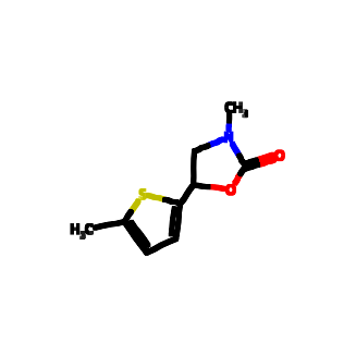 Cc1ccc(C2CN(C)C(=O)O2)s1